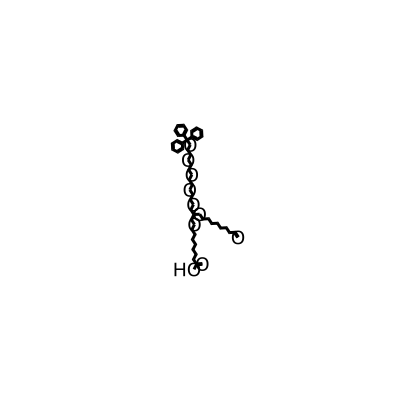 O=CCCCCCCCOC(COCCCCCCCC(=O)O)COCCOCCOCCOCCOC(c1ccccc1)(c1ccccc1)c1ccccc1